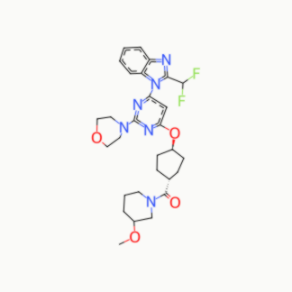 COC1CCCN(C(=O)[C@H]2CC[C@H](Oc3cc(-n4c(C(F)F)nc5ccccc54)nc(N4CCOCC4)n3)CC2)C1